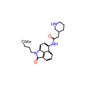 COCCCN1C(=O)c2cccc3c(NC(=O)CC4CCCNC4)ccc1c23